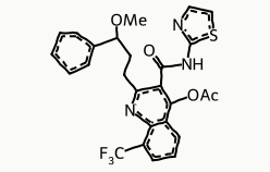 COC(CCc1nc2c(C(F)(F)F)cccc2c(OC(C)=O)c1C(=O)Nc1nccs1)c1ccccc1